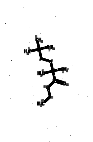 [CH2]C(C)(CCC(C)(C)C)C(=O)OCC